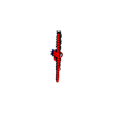 CCCCCCCCCCCCCCCCCCOC(=O)C[C@H](OC(=O)CC(C)N(C)C)C(=O)OCCCCCCCCCCCCCCCCCC